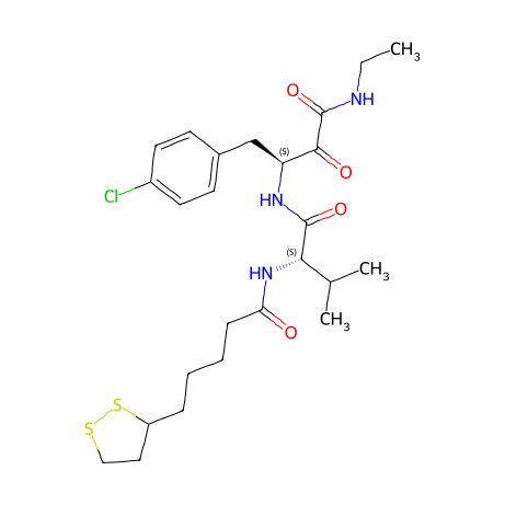 CCNC(=O)C(=O)[C@H](Cc1ccc(Cl)cc1)NC(=O)[C@@H](NC(=O)CCCCC1CCSS1)C(C)C